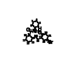 O=C(Nc1ccccc1)c1ccccc1N=Cc1cc(Br)ccc1O